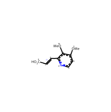 COc1ccnc(/C=C/C(=O)O)c1OC